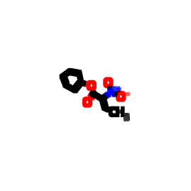 CC=C(C(=O)Oc1ccccc1)[N+](=O)[O-]